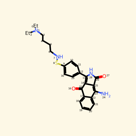 CCN(CC)CCCCNSc1ccc(C2=C3C(=O)c4ccccc4C(N)=C3C(=O)N2)cc1